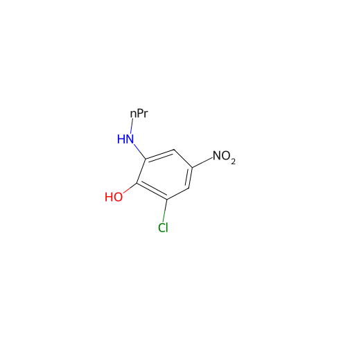 CCCNc1cc([N+](=O)[O-])cc(Cl)c1O